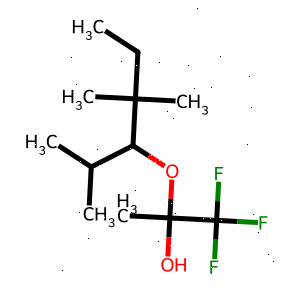 CCC(C)(C)C(OC(C)(O)C(F)(F)F)C(C)C